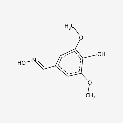 COc1cc(C=NO)cc(OC)c1O